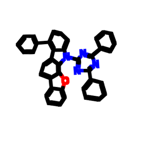 c1ccc(-c2nc(-c3ccccc3)nc(-n3c4cccc(-c5ccccc5)c4c4ccc5c6ccccc6oc5c43)n2)cc1